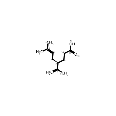 C=C(C)[C@@H](CC=C(C)C)CCC(=O)O